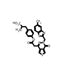 NC(Cc1ccc(OC(=O)Cc2nn(Cc3nc4cc(C(F)(F)F)ccc4s3)c(=O)c3cscc23)cc1)C(=O)O